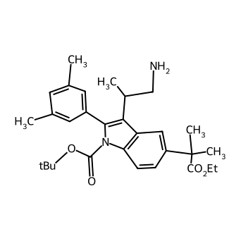 CCOC(=O)C(C)(C)c1ccc2c(c1)c(C(C)CN)c(-c1cc(C)cc(C)c1)n2C(=O)OC(C)(C)C